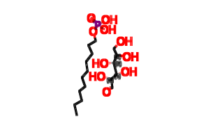 CCCCCCCCCCCOP(=O)(O)O.O=C[C@H](O)[C@@H](O)[C@H](O)[C@H](O)CO